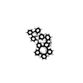 c1ccc(N(c2ccc3c4ccccc4c4ccccc4c4ccccc4c4cc5sc6ccccc6c5cc4c3c2)c2cccc3c2Oc2ccccc2-c2ccccc2-3)cc1